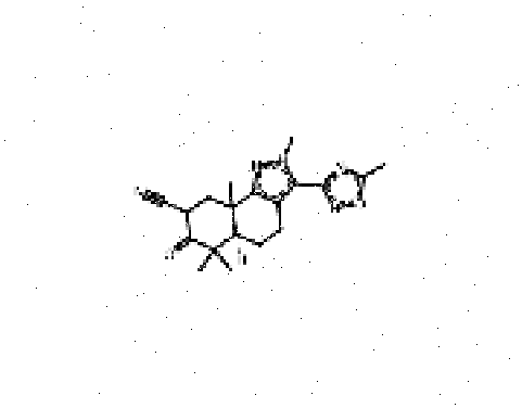 Cc1nc(-c2c3c(nn2C)C2(C)CC(C#N)C(=O)C(C)(C)[C@@H]2CC3)no1